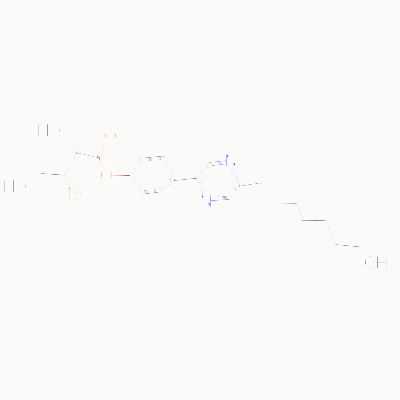 CCCCCCCCc1cnc(-c2ccc(OC(=O)C(C)C(Br)CC)cc2)cn1